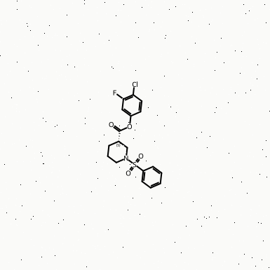 O=C(Oc1ccc(Cl)c(F)c1)[C@H]1CCCN(S(=O)(=O)c2ccccc2)C1